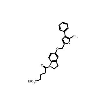 CCOC(=O)CCCC(=O)N1CCc2cc(OCc3cc(-c4ccccc4)c(C(F)(F)F)s3)ccc21